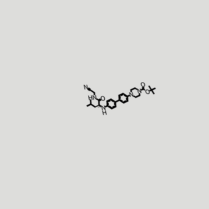 CC(C)C[C@H](Nc1ccc(-c2ccc(N3CCN(C(=O)OC(C)(C)C)CC3)cc2)cc1)C(=O)NCC#N